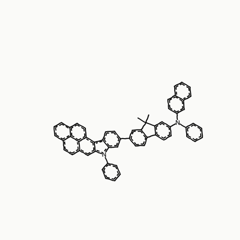 CC1(C)c2cc(-c3ccc4c5c6ccc7cccc8ccc(cc5n(-c5ccccc5)c4c3)c6c87)ccc2-c2ccc(N(c3ccccc3)c3ccc4ccccc4c3)cc21